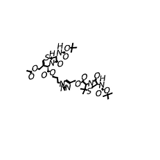 CC(=O)OCC1=CS[C@@H]2[C@H](NC(=O)OC(C)(C)C)C(=O)N2[C@H]1C(=O)OCCCn1cc(COC(=O)C2N3C(=O)[C@@H](NC(=O)OC(C)(C)C)C3SC2(C)C)nn1